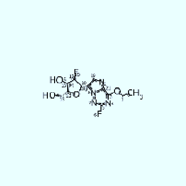 CCOc1nc(F)nn2c([C@@H]3O[C@H](CO)[C@@H](O)[C@H]3F)cnc12